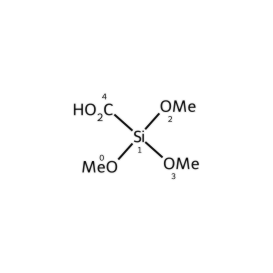 CO[Si](OC)(OC)C(=O)O